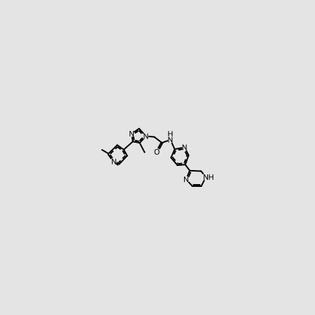 Cc1cc(-c2ncn(CC(=O)Nc3ccc(C4=NC=CNC4)cn3)c2C)ccn1